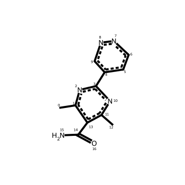 Cc1nc(-c2ccnnc2)nc(C)c1C(N)=O